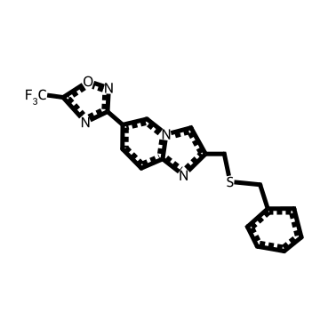 FC(F)(F)c1nc(-c2ccc3nc(CSCc4ccccc4)cn3c2)no1